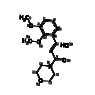 COc1ccnc(C=CC(=O)N2CCOCC2)c1OC.Cl